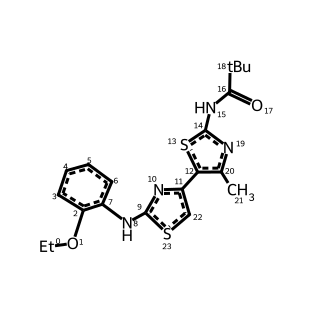 CCOc1ccccc1Nc1nc(-c2sc(NC(=O)C(C)(C)C)nc2C)cs1